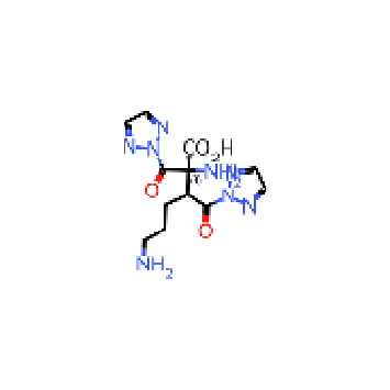 NCCCC(C(=O)n1nccn1)[C@](N)(C(=O)O)C(=O)n1nccn1